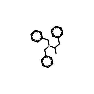 CC(Cc1ccccc1)P(Cc1ccccc1)Cc1ccccc1